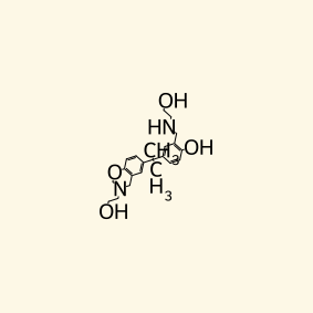 CC(C)(c1ccc(O)c(CNCCO)c1)c1ccc2c(c1)CN(CCO)CO2